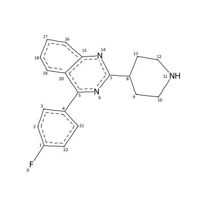 Fc1ccc(-c2nc(C3CCNCC3)nc3ccccc23)cc1